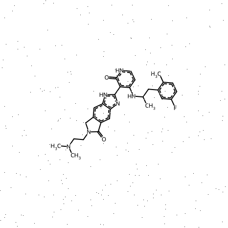 Cc1ccc(F)cc1CC(C)Nc1cc[nH]c(=O)c1-c1nc2cc3c(cc2[nH]1)CN(CCN(C)C)C3=O